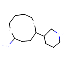 NC1CCCCCCC(C2CCCNC2)CC1